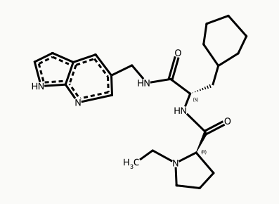 CCN1CCC[C@@H]1C(=O)N[C@@H](CC1CCCCC1)C(=O)NCc1cnc2[nH]ccc2c1